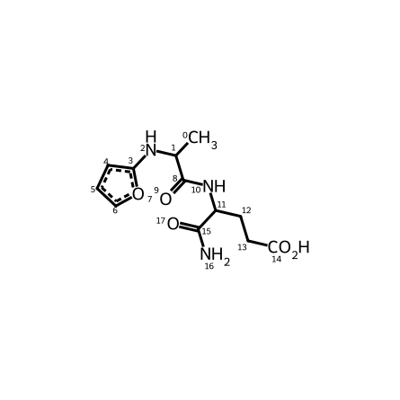 CC(Nc1ccco1)C(=O)NC(CCC(=O)O)C(N)=O